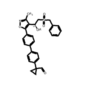 Cc1noc(-c2ccc(-c3ccc(C4(C=O)CC4)cc3)cc2)c1[C@H](O)CS(=O)(=O)Cc1ccccc1